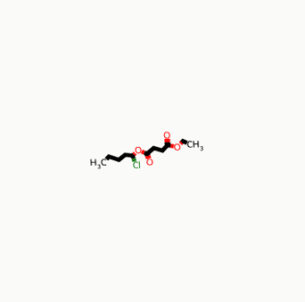 CCCCC(Cl)OC(=O)CCC(=O)OCC